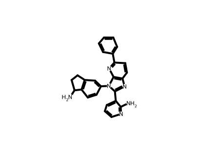 Nc1ncccc1-c1nc2ccc(-c3ccccc3)nc2n1-c1ccc2c(c1)CCC2N